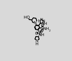 NS(=O)(=O)c1c(S(=O)(=O)N[C@@H]2CCNC2)ccc(N2CCCC(CO)C2)c1-c1nnn[nH]1